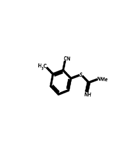 CNC(=N)Sc1cccc(C)c1C#N